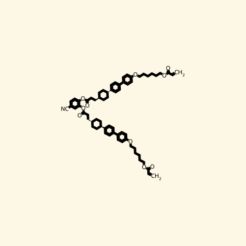 C=CC(=O)OCCCCCCOc1ccc(-c2ccc([C@H]3CC[C@H](CCC(=O)Oc4ccc(C#N)cc4OC(=O)CC[C@H]4CC[C@H](c5ccc(-c6ccc(OCCCCCCOC(=O)C=C)cc6)cc5)CC4)CC3)cc2)cc1